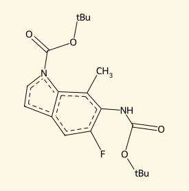 Cc1c(NC(=O)OC(C)(C)C)c(F)cc2ccn(C(=O)OC(C)(C)C)c12